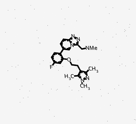 CNCc1nnc2ccc(-c3ccc(F)cc3OCCc3c(C)nn(C)c3C)cn12